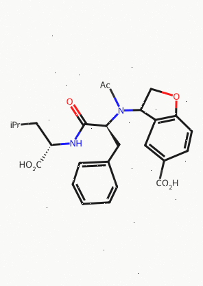 CC(=O)N(C1COc2ccc(C(=O)O)cc21)[C@@H](Cc1ccccc1)C(=O)N[C@@H](CC(C)C)C(=O)O